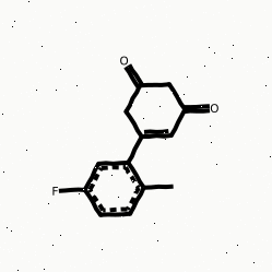 Cc1ccc(F)cc1C1=CC(=O)CC(=O)C1